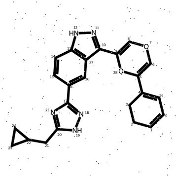 C1=CCCC(C2=COC=C(c3n[nH]c4ccc(-c5n[nH]c(CC6CC6)n5)cc34)O2)=C1